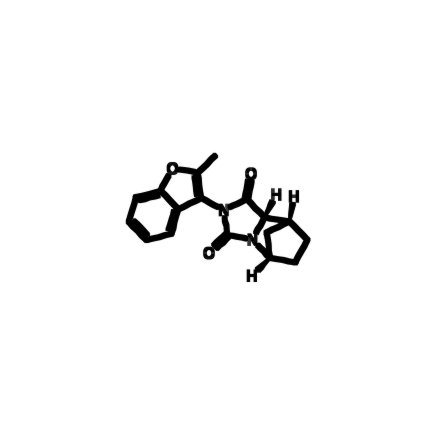 Cc1oc2ccccc2c1N1C(=O)[C@@H]2[C@@H]3CC[C@@H](C3)N2C1=O